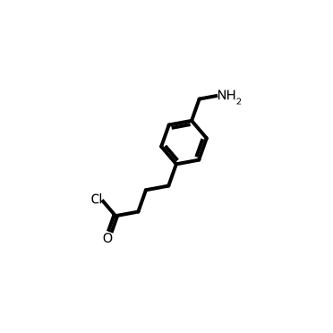 NCc1ccc(CCCC(=O)Cl)cc1